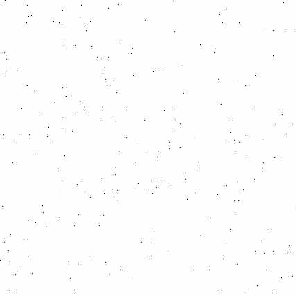 CN1CCN(Cc2ccc(C3=C/C(=C4\C(=O)Nc5cc(F)ccc54)OC3(C)C)cc2)CC1